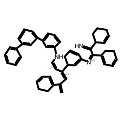 C=C(/C=C(\C=C/Nc1cccc(-c2cccc(-c3ccccc3)c2)c1)C1C=C(/N=C(\C(=N)C2C=CCCC2)C2=CC=CCC2)C=CC1)C1=CC=CCC1